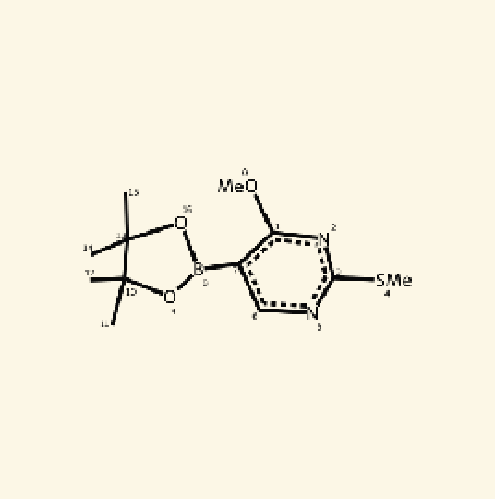 COc1nc(SC)ncc1B1OC(C)(C)C(C)(C)O1